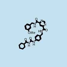 COc1cccc(CNC(=O)c2cc(C(=O)NCc3ccc(NC(=O)NC(=O)C4CCCCC4)cc3)ncn2)c1